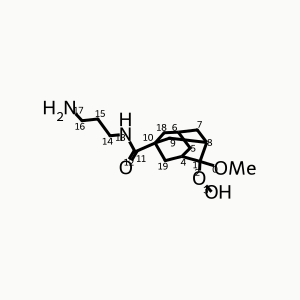 COC1(OO)C2CC3CC1CC(C(=O)NCCCN)(C3)C2